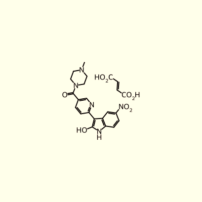 CN1CCN(C(=O)c2ccc(-c3c(O)[nH]c4ccc([N+](=O)[O-])cc34)nc2)CC1.O=C(O)C=CC(=O)O